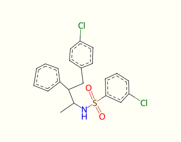 CC(NS(=O)(=O)c1cccc(Cl)c1)C(Cc1ccc(Cl)cc1)c1ccccc1